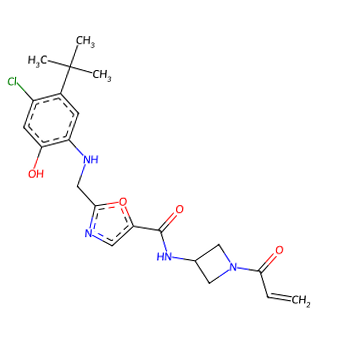 C=CC(=O)N1CC(NC(=O)c2cnc(CNc3cc(C(C)(C)C)c(Cl)cc3O)o2)C1